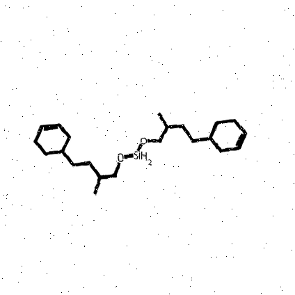 CC(CCC1CC=CCC1)CO[SiH2]OCC(C)CCC1CC=CCC1